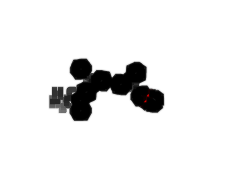 CC1(C)c2ccccc2-c2cc3c4cc(-c5ccc6c(c5)c5ccccc5n6-c5ccc6c(c5)C5CC7CC(CC6C7)C5)ccc4n(-c4ccccc4)c3cc21